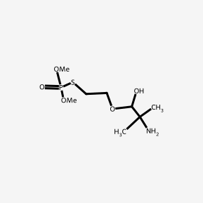 COP(=O)(OC)SCCOC(O)C(C)(C)N